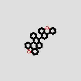 c1ccc2c(c1)Oc1cccc3c(-c4c5ccccc5c(-c5cccc6oc7ccccc7c56)c5ccccc45)ccc-2c13